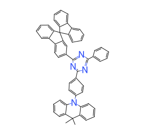 CC1(C)c2ccccc2N(c2ccc(-c3nc(-c4ccccc4)nc(-c4ccc5c(c4)C4(c6ccccc6-c6ccccc64)c4ccccc4-5)n3)cc2)c2ccccc21